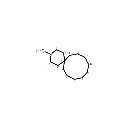 CN1CCC2(CCCCCCCCC2)CC1